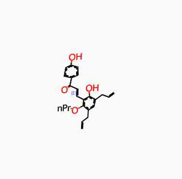 C=CCc1cc(CC=C)c(OCCC)c(/C=C/C(=O)c2ccc(O)cc2)c1O